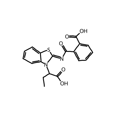 CCC(C(=O)O)n1c(=NC(=O)c2ccccc2C(=O)O)sc2ccccc21